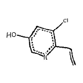 C=Cc1ncc(O)cc1Cl